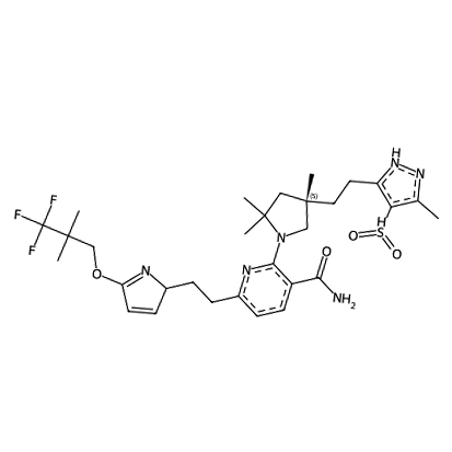 Cc1n[nH]c(CC[C@]2(C)CN(c3nc(CCC4C=CC(OCC(C)(C)C(F)(F)F)=N4)ccc3C(N)=O)C(C)(C)C2)c1[SH](=O)=O